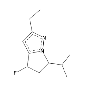 CCc1cc2n(n1)C(C(C)C)CC2F